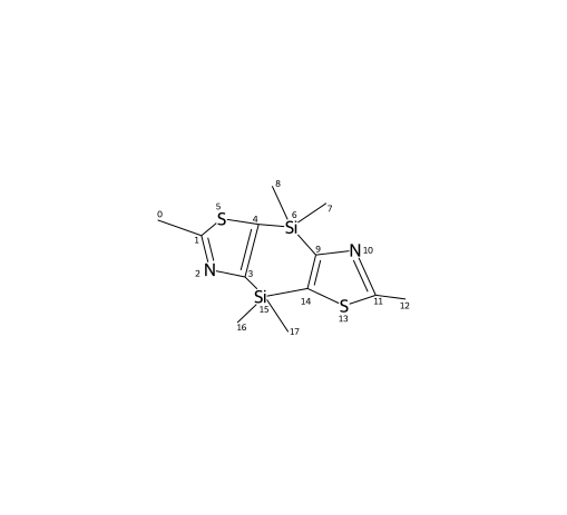 Cc1nc2c(s1)[Si](C)(C)c1nc(C)sc1[Si]2(C)C